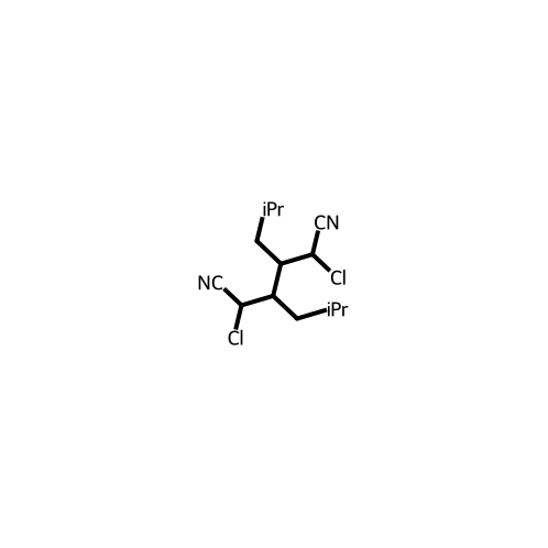 CC(C)CC(C(Cl)C#N)C(CC(C)C)C(Cl)C#N